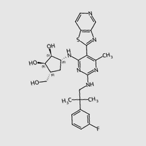 Cc1nc(NCC(C)(C)c2cccc(F)c2)nc(N[C@@H]2C[C@H](CO)[C@@H](O)[C@H]2O)c1-c1nc2cnccc2s1